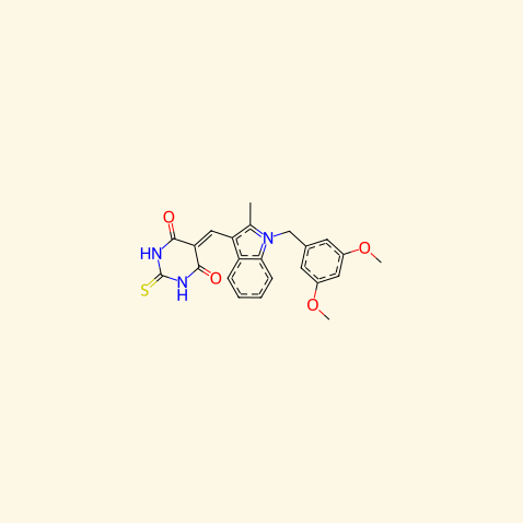 COc1cc(Cn2c(C)c(C=C3C(=O)NC(=S)NC3=O)c3ccccc32)cc(OC)c1